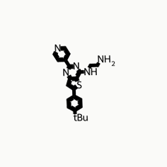 CC(C)(C)c1ccc(-c2cc3nc(-c4ccncc4)nc(NCCN)c3s2)cc1